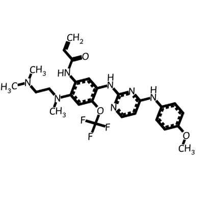 C=CC(=O)Nc1cc(Nc2nccc(Nc3ccc(OC)cc3)n2)c(OC(F)(F)F)cc1N(C)CCN(C)C